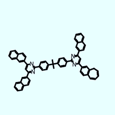 CC(C)(c1ccc(-c2nc(-c3ccc4c(c3)CC=CC=C4)cc(-c3ccc4ccccc4c3)n2)cc1)c1ccc(-c2nc(-c3ccc4ccccc4c3)cc(-c3ccc4ccccc4c3)n2)cc1